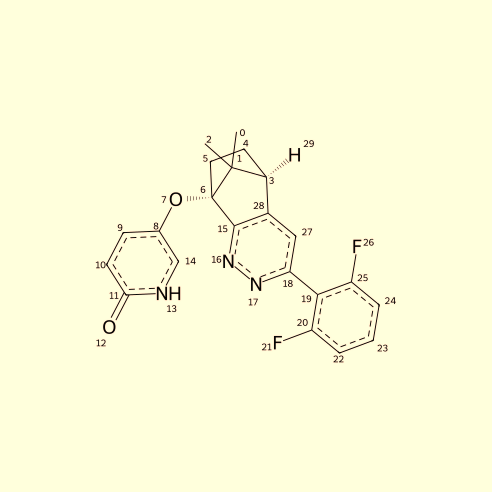 CC1(C)[C@H]2CC[C@]1(Oc1ccc(=O)[nH]c1)c1nnc(-c3c(F)cccc3F)cc12